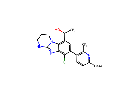 COc1ccc(-c2cc(C(O)C(F)(F)F)c3c(nc4n3CCCN4)c2Cl)c(C(F)(F)F)n1